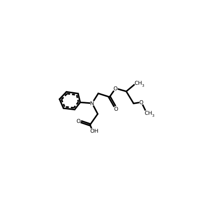 COCC(C)OC(=O)CN(CC(=O)O)c1ccccc1